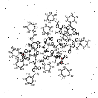 O=C(NC[C@@H]1O[C@H](O[C@H]2[C@@H](OC(=O)c3ccccc3)[C@H](O[C@@H]3[C@@H](OC(=O)c4ccccc4)[C@H](NC(=O)OCc4ccccc4)C[C@H](NC(=O)OCc4ccccc4)[C@H]3O[C@H]3O[C@H](CO)[C@@H](O)[C@H](OC(=O)c4ccccc4)[C@H]3NC(=O)OCc3ccccc3)O[C@@H]2COC(=O)c2ccccc2)[C@H](NC(=O)OCc2ccccc2)[C@@H](OC(=O)c2ccccc2)[C@@H]1OC(=O)c1ccccc1)OCc1ccccc1